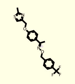 C/C(=N\OCc1ccc(C(F)(F)F)cc1)c1ccc(OCc2csc(C)n2)cc1